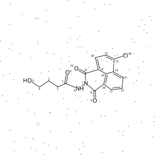 O=C(CCCO)NN1C(=O)c2cccc3c(Cl)ccc(c23)C1=O